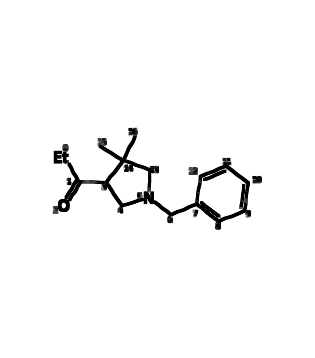 CCC(=O)C1CN(Cc2ccccc2)CC1(C)C